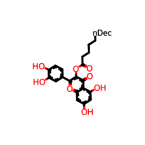 CCCCCCCCCCCCCCC(=O)Oc1c(-c2ccc(O)c(O)c2)oc2cc(O)cc(O)c2c1=O